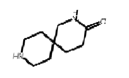 O=C1CCC2(CCNCC2)CN1